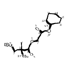 CC(C)(C)CC(C)(C(=O)OCC(=O)OC1CCCCC1)C(C)(C)C